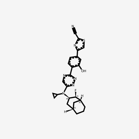 N#Cc1nc(-c2ccc(-c3ncc(N(C4CC4)[C@@H]4C[C@H]5CCC[C@H](C5)[C@@H]4F)nn3)c(O)c2)cs1